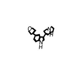 C1=C(c2ccc3[nH]cc(C4=C[C@H]5CCCN5CC4)c3c2)CCOC1